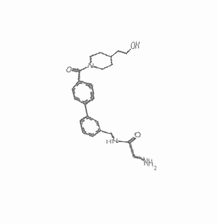 NCC(=O)NCc1cccc(-c2ccc(C(=O)N3CCC(CCO)CC3)cc2)c1